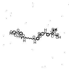 CC(Nc1cccc2c1CN(C1CCC(=O)NC1=O)C2=O)C(=O)NCCCCCCC(=O)Nc1cccc(CS(=O)(=O)N2CCC(Nc3cccc(-c4sc(C(=O)OC(C)(C)C)c(OCC(=O)O)c4Cl)c3)CC2)c1